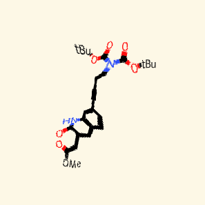 COC(=O)CC1Cc2ccc(C#CCCN(C(=O)OC(C)(C)C)C(=O)OC(C)(C)C)cc2NC1=O